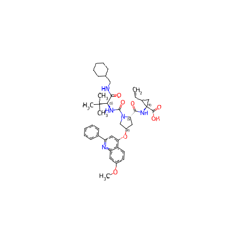 C=CC1C[C@]1(NC(=O)[C@@H]1C[C@@H](Oc2cc(-c3ccccc3)nc3cc(OC)ccc23)CN1C(=O)N[C@H](C(=O)NCC1CCCCC1)C(C)(C)C)C(=O)O